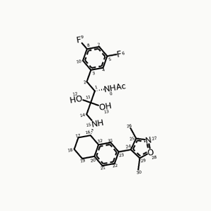 CC(=O)N[C@@H](Cc1cc(F)cc(F)c1)C(O)(O)CN[C@H]1CCCc2ccc(-c3c(C)noc3C)cc21